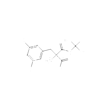 CC(C)(C)OC(=O)C(N)(Cc1cc(F)cc(F)c1)C(=O)O